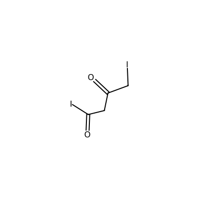 O=C(I)CC(=O)CI